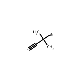 [C]#CC(C)(C)Br